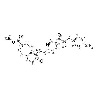 CC(C)(C)OC(=O)N1CCc2ccc(Cl)c(SCc3ccc(C(=O)N(F)Cc4ccc(C(F)(F)F)cc4)cn3)c2CC1